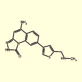 CNCc1cc(-c2ccc3c(N)cc4n[nH]c(=O)n4c3c2)cs1